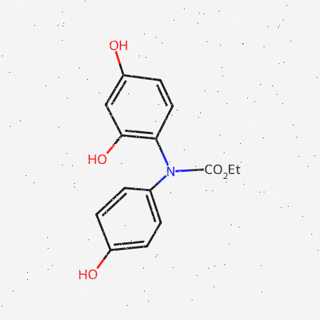 CCOC(=O)N(c1ccc(O)cc1)c1ccc(O)cc1O